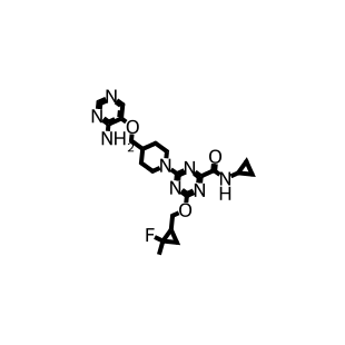 CC1(F)CC1COc1nc(C(=O)NC2CC2)nc(N2CCC(COc3cncnc3N)CC2)n1